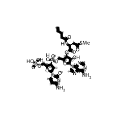 C=CCCC(=O)N[C@@H](CC(=O)SC)C(=O)O[C@@H]1C(COP(=O)(O)[C@H]2C[C@H](n3ccc(N)nc3=O)OC2COP(=O)(O)O)O[C@@H](n2cnc3c(N)ncnc32)[C@@H]1O